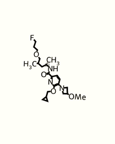 COC1CN(c2ccc(C(=O)N[C@@H](C)CC(C)COCCCF)nc2OCC2CC2)C1